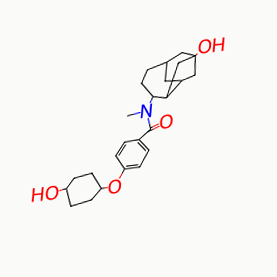 CN(C(=O)c1ccc(OC2CCC(O)CC2)cc1)C1CCC2CC3CC(O)(C2)CC31